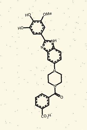 COc1cc(-c2nc3cc(N4CCN(C(=O)c5cccc(C(=O)O)c5)CC4)ccc3[nH]2)cc(O)c1O